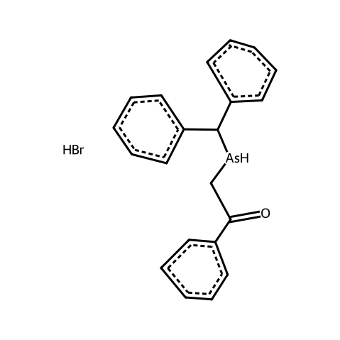 Br.O=C(C[AsH]C(c1ccccc1)c1ccccc1)c1ccccc1